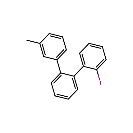 Cc1cccc(-c2ccccc2-c2ccccc2I)c1